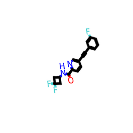 O=C(NC1CC(F)(F)C1)c1ccc(C#Cc2cccc(F)c2)cn1